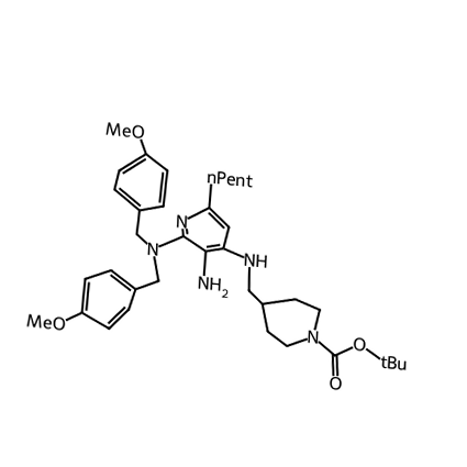 CCCCCc1cc(NCC2CCN(C(=O)OC(C)(C)C)CC2)c(N)c(N(Cc2ccc(OC)cc2)Cc2ccc(OC)cc2)n1